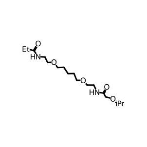 CCC(=O)NCCOCCCCCOCCNC(=O)COC(C)C